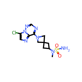 CN(C1CC2(C1)CN(c1ncnn3c(Cl)cnc13)C2)S(N)(=O)=O